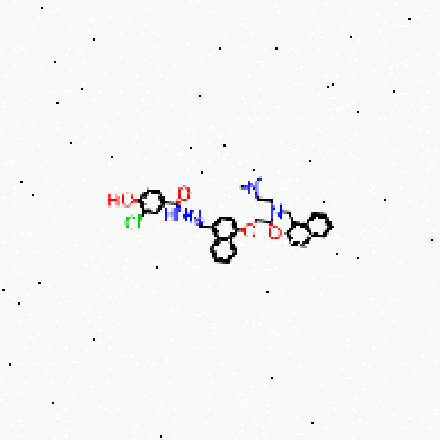 CN(C)CCN(Cc1cccc2ccccc12)C(=O)COc1ccc(/C=N/NC(=O)c2ccc(O)c(Cl)c2)c2ccccc12